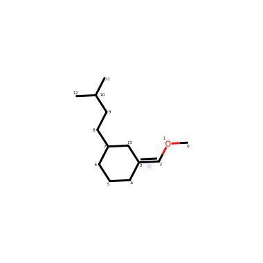 CO/C=C1/CCCC(CCC(C)C)C1